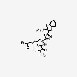 CCC(=O)CCCCC[C@H](NC(=O)C(=O)N(C)C)c1nnc(-c2cc3ccccc3nc2OC)o1